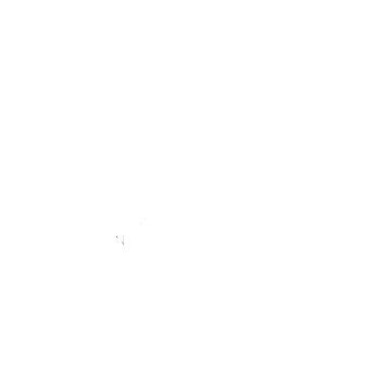 N#COCCCC1CCCCCCCC1